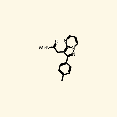 CNC(=O)Cc1c(-c2ccc(C)cc2)nn2cccnc12